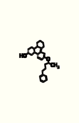 CC(CCCc1ccccc1)OC1=CC2=C3CCCCC3C3CCC(O)CC3C2C=C1